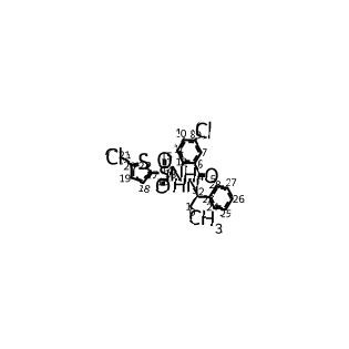 CCC(NC(=O)c1cc(Cl)ccc1NS(=O)(=O)c1ccc(Cl)s1)c1ccccc1